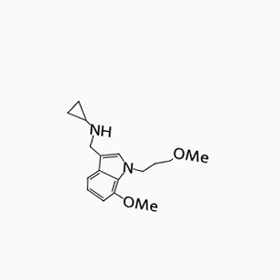 COCCCn1cc(CNC2CC2)c2cccc(OC)c21